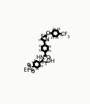 CCS(=O)(=O)c1ccc([C@H](CO)NC(=O)c2ccc(-c3csc(Oc4ccc(C(F)(F)F)cc4)n3)cc2)cc1